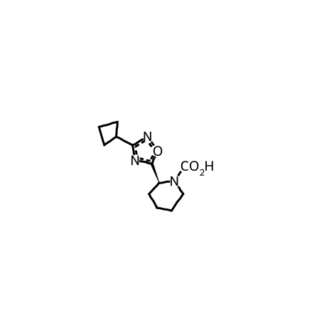 O=C(O)N1CCCC[C@H]1c1nc(C2CCC2)no1